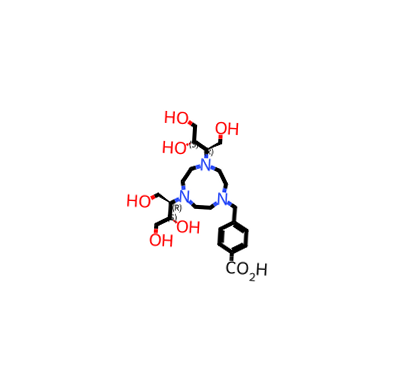 O=C(O)c1ccc(CN2CCN([C@H](CO)[C@H](O)CO)CCN([C@H](CO)[C@H](O)CO)CC2)cc1